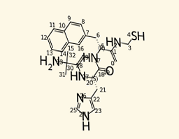 C=C(NCS)[C@@H](Cc1ccc2ccccc2c1)NC(=O)[C@H](Cc1c[nH]cn1)NC(=C)C(C)(C)N